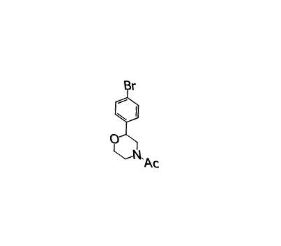 CC(=O)N1CCOC(c2ccc(Br)cc2)C1